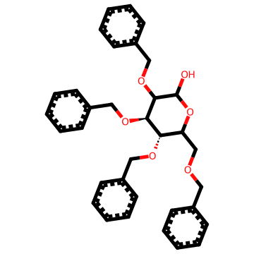 OC1OC(COCc2ccccc2)[C@H](OCc2ccccc2)[C@@H](OCc2ccccc2)C1OCc1ccccc1